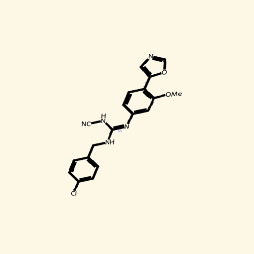 COc1cc(/N=C(\NC#N)NCc2ccc(Cl)cc2)ccc1-c1cnco1